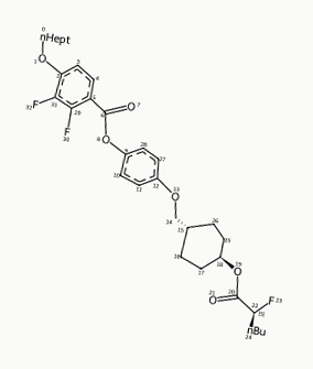 CCCCCCCOc1ccc(C(=O)Oc2ccc(OC[C@H]3CC[C@H](OC(=O)[C@@H](F)CCCC)CC3)cc2)c(F)c1F